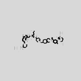 Cc1ccc(C(=O)N2CCC3(CCC(CN4CCC(n5cc(NC(=O)c6cnn7ccc(N8CCC[C@H](N)C8)nc67)c(C(F)F)n5)CC4)CC3)CC2)cc1N1CCC(=O)NC1=O